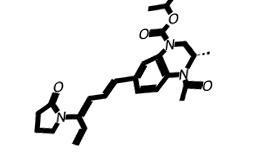 C=C/C(=C\C=C\c1ccc2c(c1)N(C(=O)OC(C)C)C[C@H](C)N2C(C)=O)N1CCCC1=O